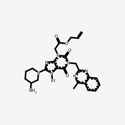 C=CCOC(=O)Cn1c(=O)n(Cc2nc(C)c3ccccc3n2)c(=O)c2c1nc(N1CCCC(N)C1)n2CC